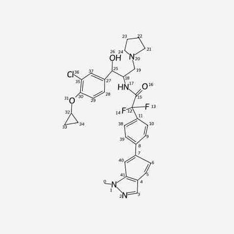 Cn1ncc2ccc(-c3ccc(C(F)(F)C(=O)NC(CN4CCCC4)C(O)c4ccc(OC5CC5)c(Cl)c4)cc3)cc21